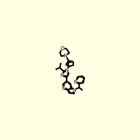 CC(C)c1nc(-c2cnc3ccn(C(C)c4ccccn4)c3c2)cn1C12CC(C1)C(N1CCOCC1)C2